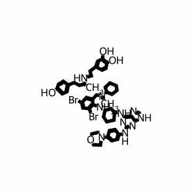 CC(CCc1ccc(O)cc1)NCCc1ccc(O)c(O)c1.CN(Cc1cc(Br)cc(Br)c1N)C1CCCCC1.c1nc2c(NC3CCCCC3)nc(Nc3ccc(N4CCOCC4)cc3)nc2[nH]1